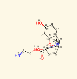 N=CCOC(=O)N1CC[C@@]23C=C[C@H](O)C[C@@H]2Oc2c(O)ccc(c23)C1